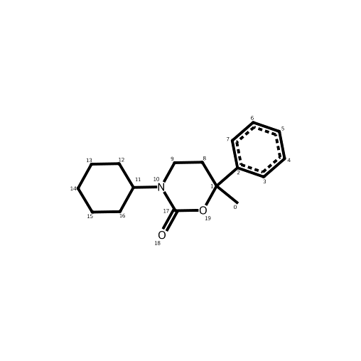 CC1(c2ccccc2)CCN(C2CCCCC2)C(=O)O1